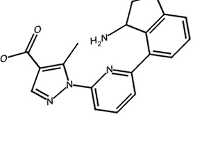 Cc1c(C(=O)O)cnn1-c1cccc(-c2cccc3c2C(N)CC3)n1